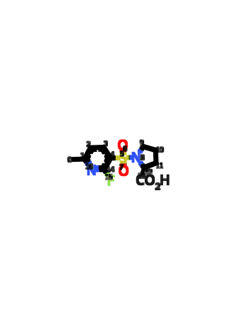 Cc1ccc(S(=O)(=O)N2CCC[C@H]2C(=O)O)c(F)n1